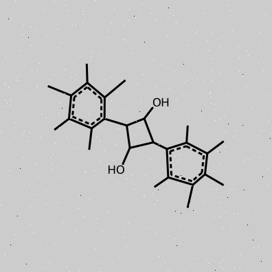 Cc1c(C)c(C)c(C2C(O)C(c3c(C)c(C)c(C)c(C)c3C)C2O)c(C)c1C